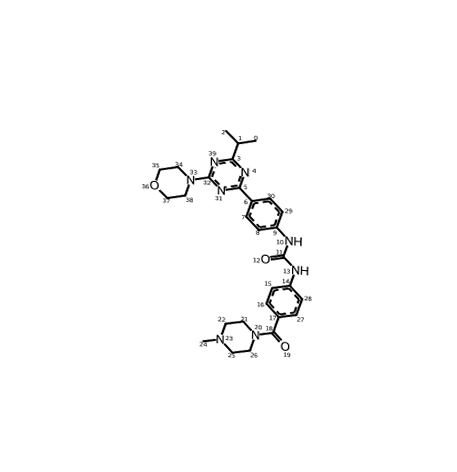 CC(C)c1nc(-c2ccc(NC(=O)Nc3ccc(C(=O)N4CCN(C)CC4)cc3)cc2)nc(N2CCOCC2)n1